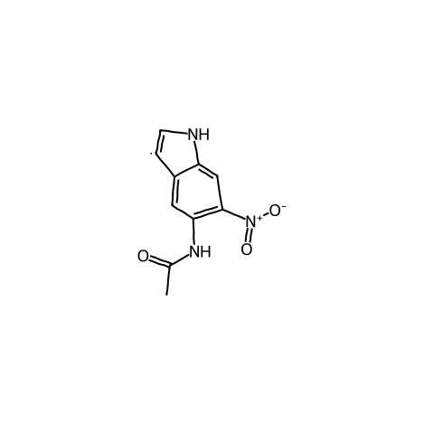 CC(=O)Nc1cc2[c]c[nH]c2cc1[N+](=O)[O-]